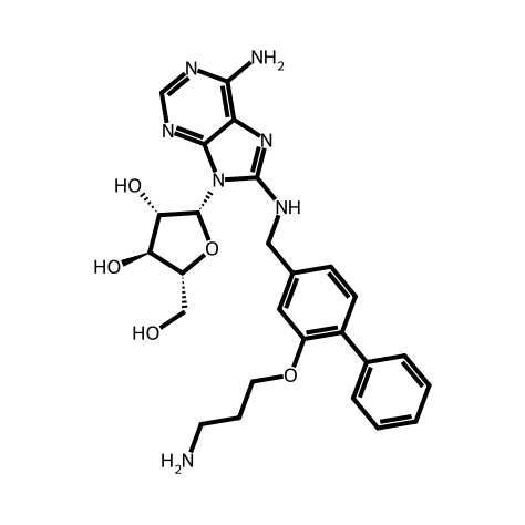 NCCCOc1cc(CNc2nc3c(N)ncnc3n2[C@@H]2O[C@H](CO)[C@@H](O)[C@@H]2O)ccc1-c1ccccc1